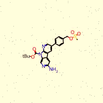 CC(C)(C)OC(=O)n1c2cnc(N)cc2c2cc(-c3ccc(COS(C)(=O)=O)cc3)cnc21